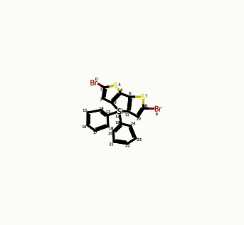 Brc1cc2c(s1)-c1sc(Br)cc1[Si]2(c1ccccc1)c1ccccc1